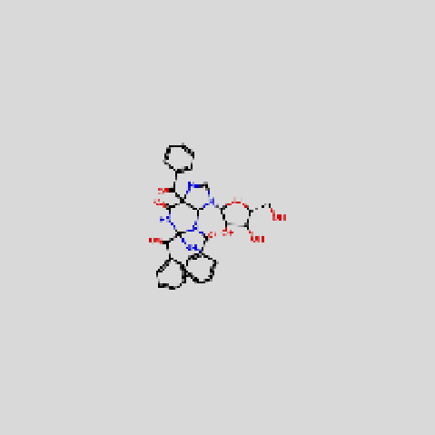 NC1(C(=O)c2ccccc2)NC(=O)C2(C(=O)c3ccccc3)N=CN([C@@H]3O[C@H](CO)C(O)C3O)C2N1C(=O)c1ccccc1